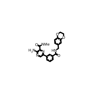 CNC(=O)c1nc(-c2cccc(C(=O)NCc3ccc4c(c3)OCCO4)c2)cnc1N